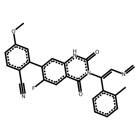 C=N/C=C(\c1ccccc1C)n1c(=O)[nH]c2cc(-c3cc(OC)ccc3C#N)c(F)cc2c1=O